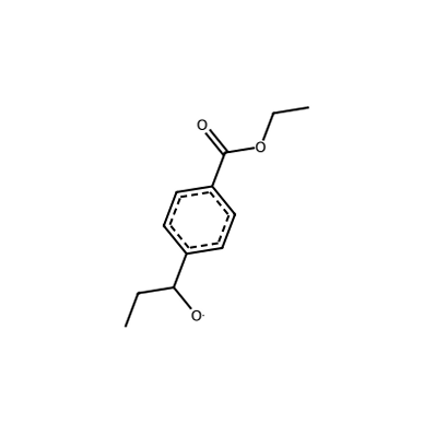 CCOC(=O)c1ccc(C([O])CC)cc1